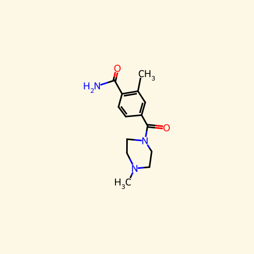 Cc1cc(C(=O)N2CCN(C)CC2)ccc1C(N)=O